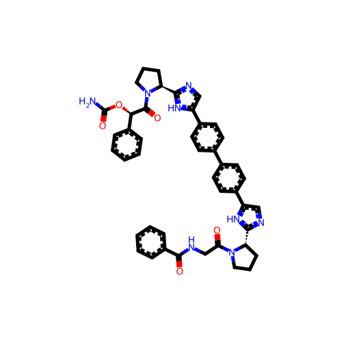 NC(=O)O[C@@H](C(=O)N1CCC[C@H]1c1ncc(-c2ccc(-c3ccc(-c4cnc([C@@H]5CCCN5C(=O)CNC(=O)c5ccccc5)[nH]4)cc3)cc2)[nH]1)c1ccccc1